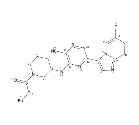 CC(C)(C)OC(=O)N1CCCC(Nc2nc(-c3cnc4ccc(F)cn34)ncc2C#N)C1